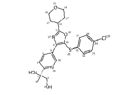 CC(O)(CO)c1ccc(-c2nc(C3CCOCC3)oc2Sc2ccc(Cl)cc2)cn1